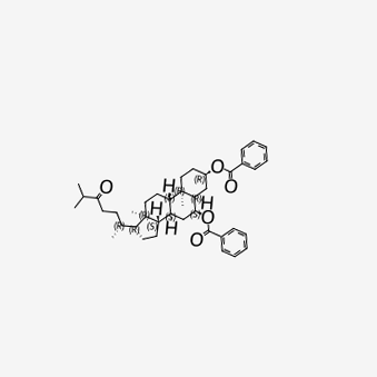 CC(C)C(=O)CC[C@@H](C)[C@H]1CC[C@H]2[C@@H]3C[C@H](OC(=O)c4ccccc4)[C@@H]4C[C@H](OC(=O)c5ccccc5)CC[C@]4(C)[C@H]3CC[C@]12C